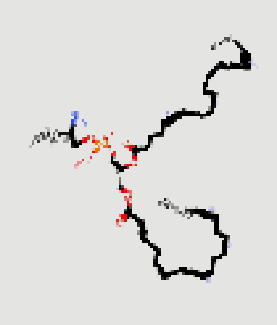 CCCCC/C=C\C/C=C\C/C=C\C/C=C\CCCC(=O)OC[C@H](COP(=O)(O)OC[C@H](N)C(=O)O)OC(=O)CCC/C=C\C/C=C\C/C=C\C/C=C\CCCCC